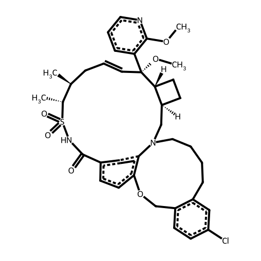 COc1ncccc1[C@]1(OC)/C=C/C[C@H](C)[C@@H](C)S(=O)(=O)NC(=O)c2ccc3c(c2)N(CCCCc2cc(Cl)ccc2CO3)C[C@@H]2CC[C@H]21